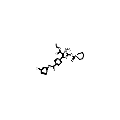 CCOC(=O)c1c(-c2ccc(C(=O)Nc3cc(Cl)ccn3)cc2)nc(OC(=O)N2CCCCC2)n1N